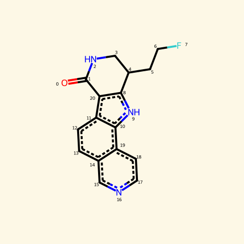 O=C1NCC(CCF)c2[nH]c3c(ccc4cnccc43)c21